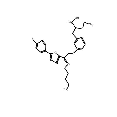 CCCCON=C(COc1cccc(CC(OCC)C(=O)O)c1)c1nnc(-c2ccc(F)cc2)o1